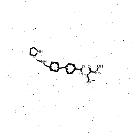 C[C@@H](O)[C@H](NC(=O)c1ccc(-c2ccc(CNC[C@@H]3CCCN3)cc2)cc1)C(=O)NO